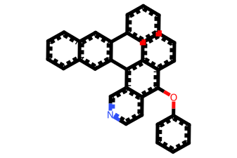 c1ccc(Oc2c3ccccc3c(-c3cc4ccccc4cc3-c3ccccc3)c3cnccc23)cc1